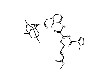 COC(=O)/C=C/CC[C@H](NC(=O)c1ccnn1C)C(=O)Nc1cccn(CC(=O)NC23CC4(C)CC(C)(CC(C)(C4)C2)C3)c1=O